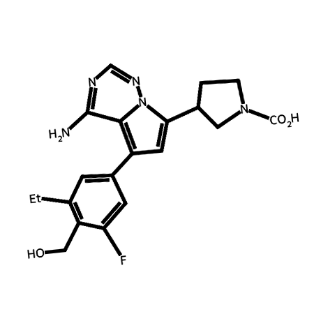 CCc1cc(-c2cc(C3CCN(C(=O)O)C3)n3ncnc(N)c23)cc(F)c1CO